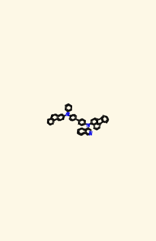 c1ccc(N(c2ccc(-c3ccc(N(c4cncc5ccccc45)c4ccc5c6c(cccc46)-c4ccccc4-5)cc3)cc2)c2ccc3c(ccc4ccccc43)c2)cc1